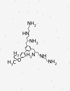 CC(C)Oc1ccc(-c2cc(CC(N)CCNCCCN)cc(CC(N)CCNCCCN)c2)cc1